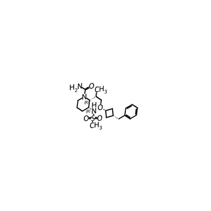 CC(CO[C@H]1C[C@@H](Cc2ccccc2)C1)[C@@H]1[C@H](NS(C)(=O)=O)CCCN1C(N)=O